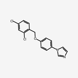 Clc1ccc(COc2ccc(-n3ccnc3)cc2)c(Cl)c1